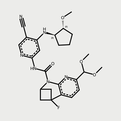 COC(OC)c1ccc2c(n1)N(C(=O)Nc1cc(N[C@@H]3CCC[C@H]3OC)c(C#N)cn1)C1CC2(F)C1